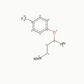 CCCC(CCNC)Oc1ccc(C(F)(F)F)cc1